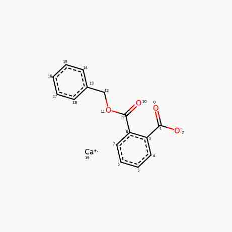 O=C([O-])c1ccccc1C(=O)OCc1ccccc1.[Ca+]